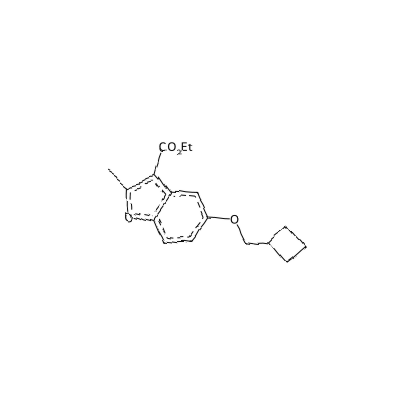 CCOC(=O)c1c(C)oc2ccc(OCC3CCC3)cc12